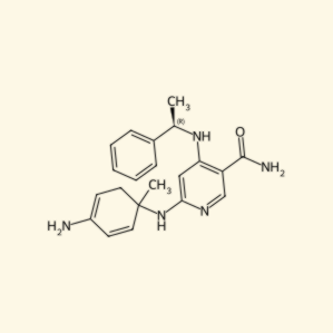 C[C@@H](Nc1cc(NC2(C)C=CC(N)=CC2)ncc1C(N)=O)c1ccccc1